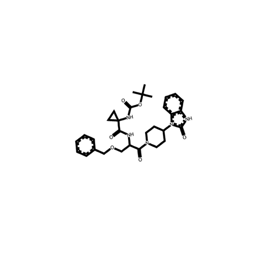 CC(C)(C)OC(=O)NC1(C(=O)NC(COCc2ccccc2)C(=O)N2CCC(n3c(=O)[nH]c4ccccc43)CC2)CC1